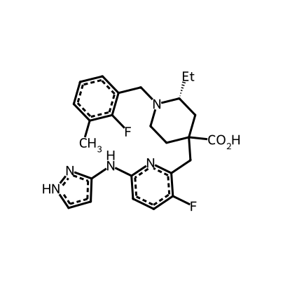 CC[C@@H]1CC(Cc2nc(Nc3cc[nH]n3)ccc2F)(C(=O)O)CCN1Cc1cccc(C)c1F